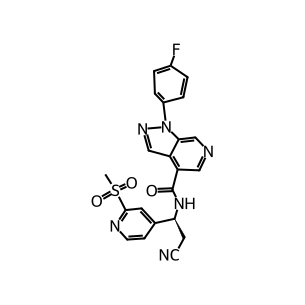 CS(=O)(=O)c1cc([C@H](CC#N)NC(=O)c2cncc3c2cnn3-c2ccc(F)cc2)ccn1